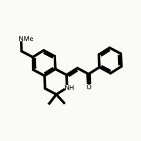 CNCc1ccc2c(c1)CC(C)(C)N/C2=C\C(=O)c1ccccc1